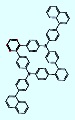 c1ccc(-c2ccc(N(c3ccc(-c4ccccc4-c4ccc(N(c5ccc(-c6ccccc6)cc5)c5ccc(-c6cccc7ccccc67)cc5)cc4)cc3)c3ccc(-c4cccc5ccccc45)cc3)cc2)cc1